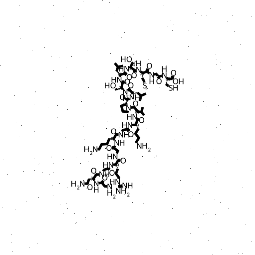 CSCC[C@H](NC(=O)[C@@H](NC(=O)[C@H](CC(C)C)NC(=O)[C@H](CO)NC(=O)[C@H](CC(C)C)NC(=O)[C@@H]1CCCN1C(=O)[C@@H](NC(=O)[C@H](CCCCN)NC(=O)CNC(=O)[C@H](CCCCN)NC(=O)CNC(=O)[C@H](CCCNC(=N)N)NC(=O)CNC(=O)[C@H](CC(N)=O)NC(=O)CN)C(C)C)[C@@H](C)O)C(=O)NCC(=O)N[C@@H](CS)C(=O)O